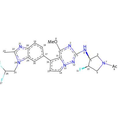 COc1nc(N[C@H]2CN(C(C)=O)C[C@H]2F)nn2ccc(-c3ccc4nc(C)n(CC(F)F)c4c3)c12